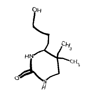 CC1(C)CNC(=O)NC1CCO